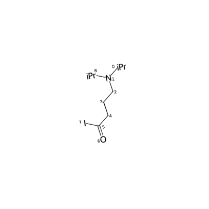 CC(C)N(CCCC(=O)I)C(C)C